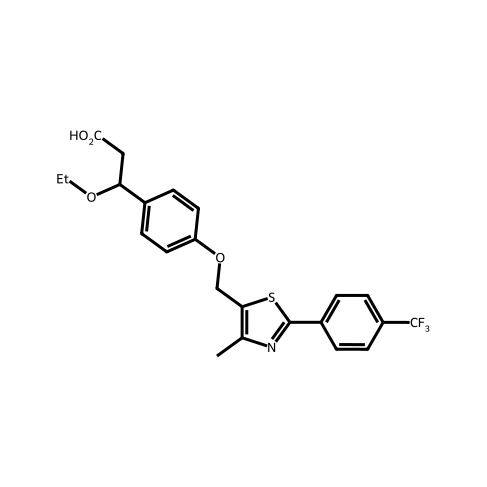 CCOC(CC(=O)O)c1ccc(OCc2sc(-c3ccc(C(F)(F)F)cc3)nc2C)cc1